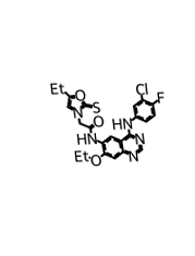 CCOc1cc2ncnc(Nc3ccc(F)c(Cl)c3)c2cc1NC(=O)Cn1cc(CC)oc1=S